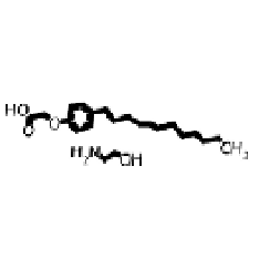 CCCCCCCCCCCCc1ccc(OCC(=O)O)cc1.NCCO